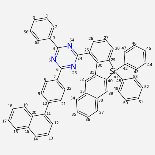 c1ccc(-c2nc(-c3ccc(-c4cccc5ccccc45)cc3)nc(-c3cccc4c3-c3cc5ccccc5cc3[Si]4(c3ccccc3)c3ccccc3)n2)cc1